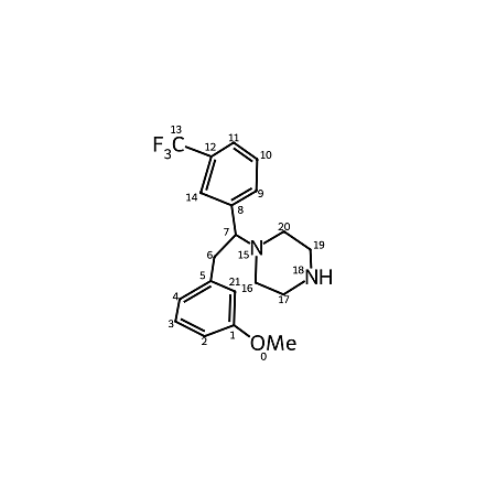 COc1cccc(CC(c2cccc(C(F)(F)F)c2)N2CCNCC2)c1